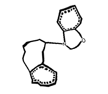 [C]1Oc2ccccc2N1C1CCCc2ccccc21